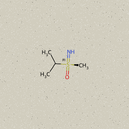 CC(C)[S@](C)(=N)=O